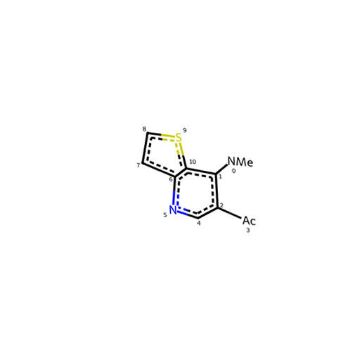 CNc1c(C(C)=O)cnc2ccsc12